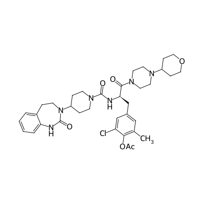 CC(=O)Oc1c(C)cc(C[C@@H](NC(=O)N2CCC(N3CCc4ccccc4NC3=O)CC2)C(=O)N2CCN(C3CCOCC3)CC2)cc1Cl